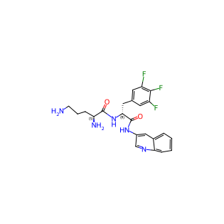 NCCC[C@H](N)C(=O)N[C@H](Cc1cc(F)c(F)c(F)c1)C(=O)Nc1cnc2ccccc2c1